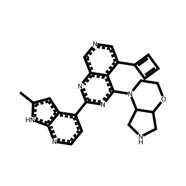 Cc1cc2c(-c3nc(N4CCOC5CNCC54)c4c(C5=CC=C5)cncc4n3)ccnc2[nH]1